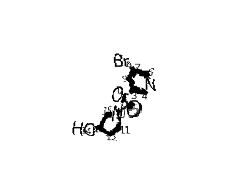 O=S(=O)(c1cncc(Br)c1)N1CCC(O)C1